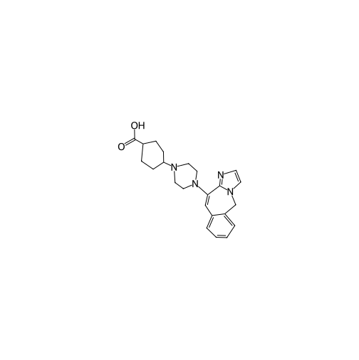 O=C(O)C1CCC(N2CCN(C3=Cc4ccccc4Cn4ccnc43)CC2)CC1